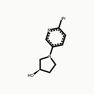 CC(C)c1ccc(N2CC[C@@H](O)C2)cn1